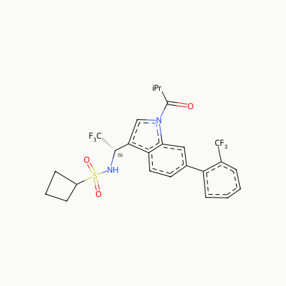 CC(C)C(=O)n1cc([C@H](NS(=O)(=O)C2CCC2)C(F)(F)F)c2ccc(-c3ccccc3C(F)(F)F)cc21